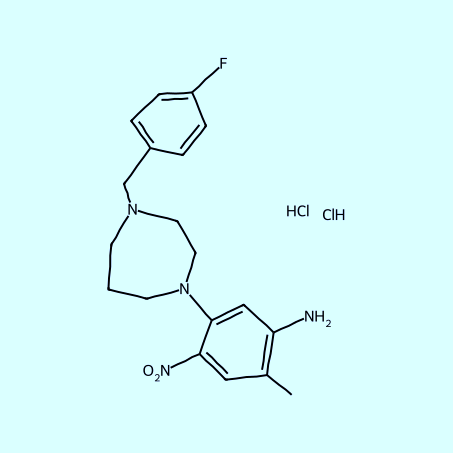 Cc1cc([N+](=O)[O-])c(N2CCCN(Cc3ccc(F)cc3)CC2)cc1N.Cl.Cl